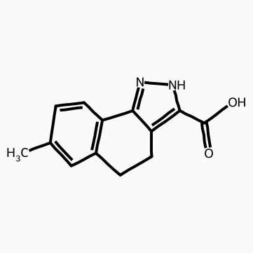 Cc1ccc2c(c1)CCc1c-2n[nH]c1C(=O)O